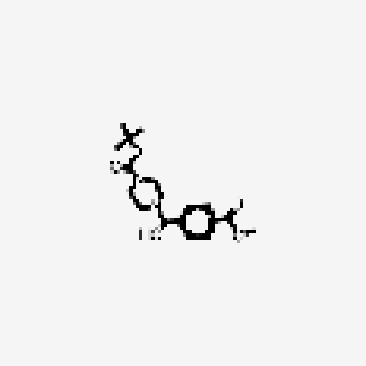 COC(=O)c1ccc(C(O)N2CCN(C(=O)OC(C)(C)C)CC2)cc1